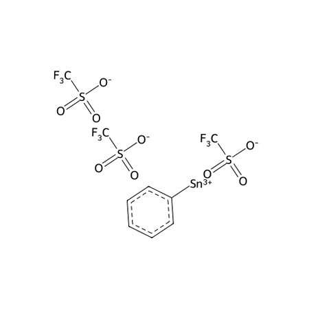 O=S(=O)([O-])C(F)(F)F.O=S(=O)([O-])C(F)(F)F.O=S(=O)([O-])C(F)(F)F.[Sn+3][c]1ccccc1